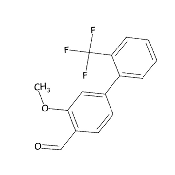 COc1cc(-c2ccccc2C(F)(F)F)ccc1C=O